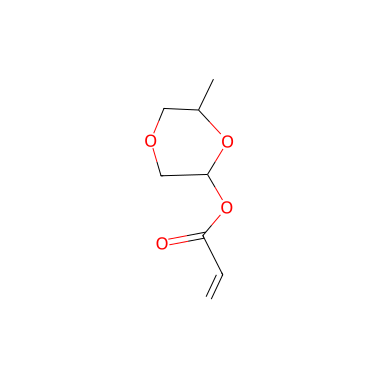 C=CC(=O)OC1COCC(C)O1